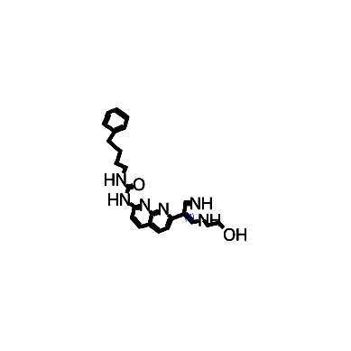 N=C/C(=C\NCCO)c1ccc2ccc(NC(=O)NCCCCc3ccccc3)nc2n1